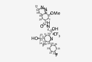 COc1cc(C(=O)NC[C@@](O)(c2cc(C(C)(C)O)c(F)c(-c3ccc(F)cc3)n2)C(F)(F)F)cc2cc(C)nnc12